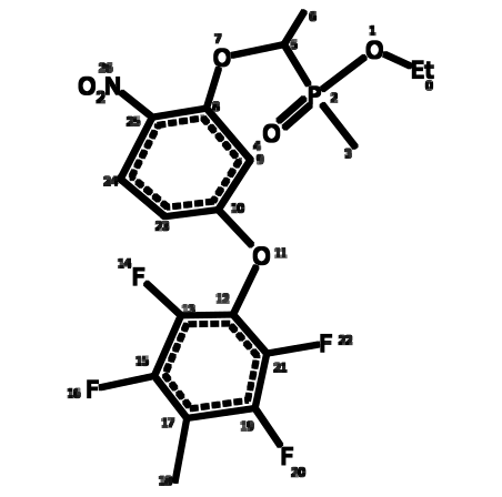 CCOP(C)(=O)C(C)Oc1cc(Oc2c(F)c(F)c(C)c(F)c2F)ccc1[N+](=O)[O-]